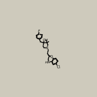 CC1(C)CN(CCC2CNc3cc(Cl)ccc3O2)CCC1(O)Cc1ccc(F)cc1